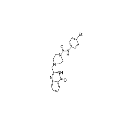 CCc1ccc(NC(=O)N2CCN(Cc3nc4ccccc4c(=O)[nH]3)CC2)cc1